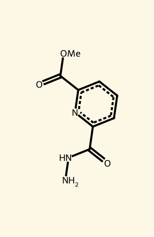 COC(=O)c1cccc(C(=O)NN)n1